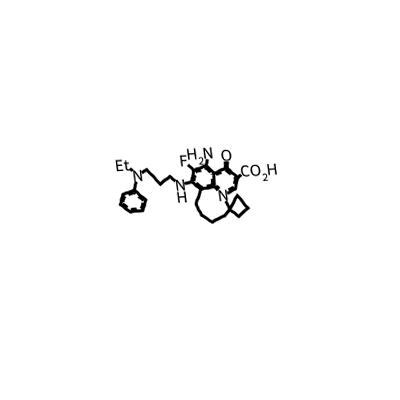 CCN(CCCNc1c(F)c(N)c2c(=O)c(C(=O)O)cn3c2c1CCCCC31CCC1)c1ccccc1